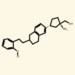 CCOc1ccccc1CCC1CCc2cc([C@@H]3CC[C@](N)(CO)C3)ccc2C1